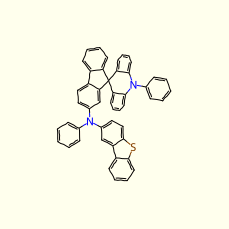 c1ccc(N(c2ccc3c(c2)C2(c4ccccc4-3)c3ccccc3N(c3ccccc3)c3ccccc32)c2ccc3sc4ccccc4c3c2)cc1